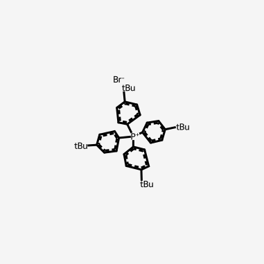 CC(C)(C)c1ccc([P+](c2ccc(C(C)(C)C)cc2)(c2ccc(C(C)(C)C)cc2)c2ccc(C(C)(C)C)cc2)cc1.[Br-]